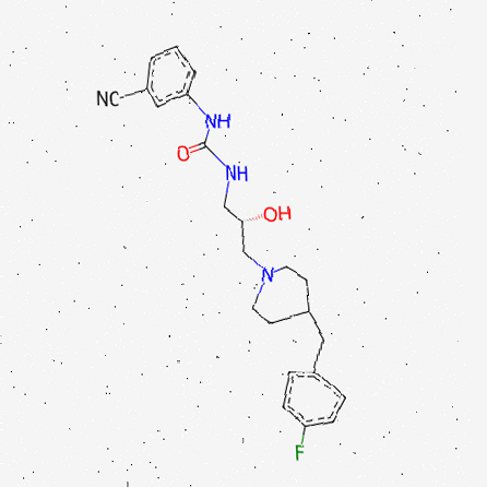 N#Cc1cccc(NC(=O)NC[C@H](O)CN2CCC(Cc3ccc(F)cc3)CC2)c1